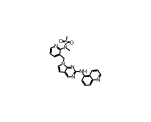 CN(c1ncccc1Cn1ccc2cnc(Nc3cccc4ncccc34)nc21)S(C)(=O)=O